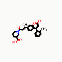 Cc1ccccc1-c1cc(=O)oc2cc([C@@H](C)CC(=O)N3CCCC(C(=O)O)C3)ccc12